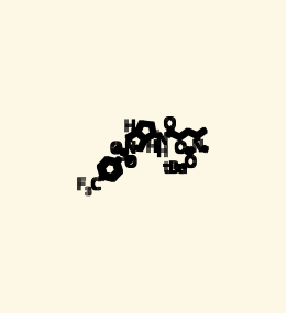 CC(CCC(=O)N[C@@H]1CC[C@@H]2CN(S(=O)(=O)c3ccc(C(F)(F)F)cc3)C[C@@H]21)N(C)C(=O)OC(C)(C)C